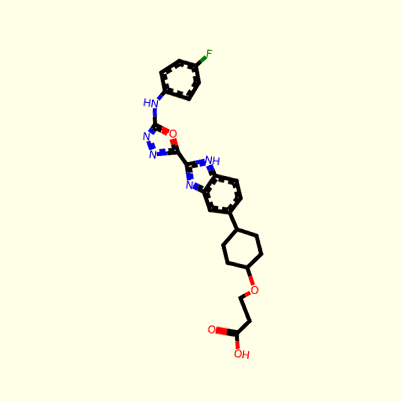 O=C(O)CCOC1CCC(c2ccc3[nH]c(-c4nnc(Nc5ccc(F)cc5)o4)nc3c2)CC1